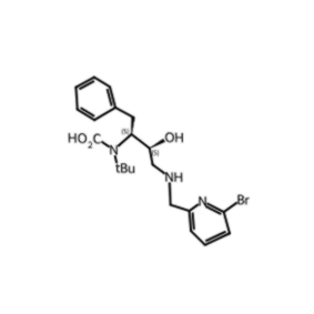 CC(C)(C)N(C(=O)O)[C@@H](Cc1ccccc1)[C@@H](O)CNCc1cccc(Br)n1